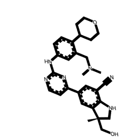 CN(C)Cc1cc(Nc2nccc(-c3cc(C#N)c4c(c3)[C@@](C)(CO)CN4)n2)ccc1C1CCOCC1